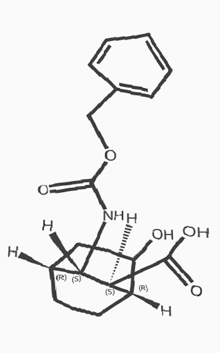 O=C(N[C@H]1[C@@H]2CC[C@@H](C(O)C2)[C@@H]1C(=O)O)OCc1ccccc1